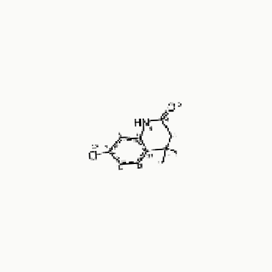 CC1(C)CC(=O)Nc2cc(Cl)ccc21